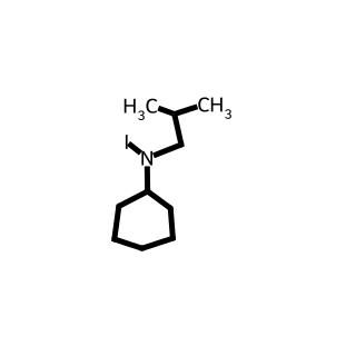 CC(C)CN(I)C1CCCCC1